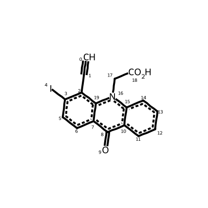 C#Cc1c(I)ccc2c(=O)c3ccccc3n(CC(=O)O)c12